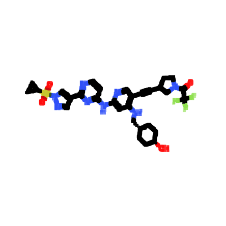 O=C(N1CCC(C#Cc2cnc(Nc3ccnc(-c4cnn(S(=O)(=O)C5CC5)c4)n3)cc2NC[C@H]2CC[C@H](O)CC2)C1)C(F)(F)F